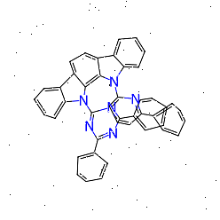 c1ccc(-c2cccc(-n3c4ccccc4c4ccc5c6ccccc6n(-c6nc(-c7ccccc7)nc(-c7ccccc7)n6)c5c43)n2)cc1